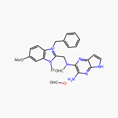 CCn1c(CN(C=O)c2nc3cc[nH]c3nc2N)[n+](Cc2ccccc2)c2ccc(OC)cc21.O=C[O-]